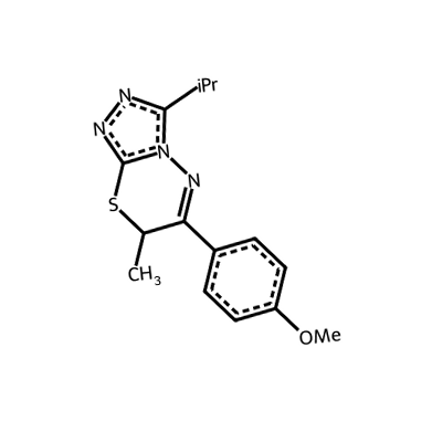 COc1ccc(C2=Nn3c(nnc3C(C)C)SC2C)cc1